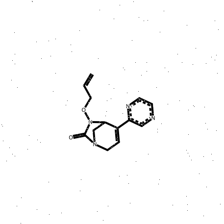 C=CCON1C(=O)N2CC=C(c3cnccn3)C1C2